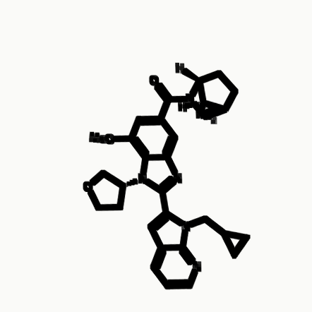 COc1cc(C(=O)N2C=C3CC[C@@H]2[C@@H]3N)cc2nc(-c3cc4cccnc4n3CC3CC3)n([C@@H]3CCOC3)c12